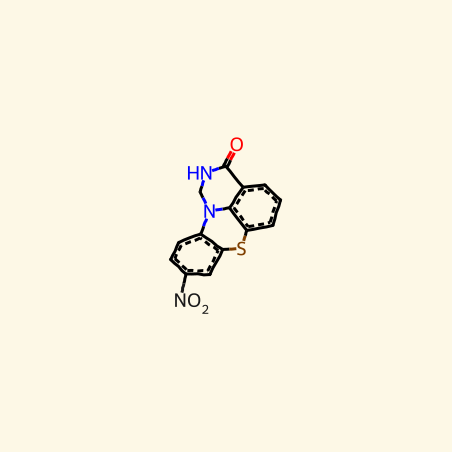 O=C1NCN2c3ccc([N+](=O)[O-])cc3Sc3cccc1c32